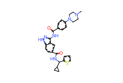 CN1CCN(c2ccc(C(=O)Nc3n[nH]c4ccc(C(=O)NC(c5cccs5)C5CC5)cc34)cc2)CC1